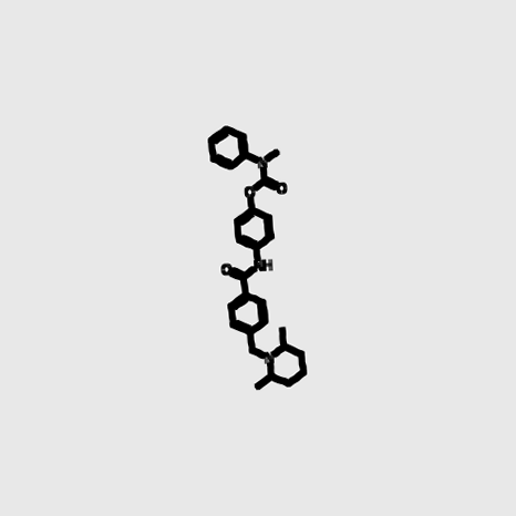 CC1CCCC(C)N1Cc1ccc(C(=O)Nc2ccc(OC(=O)N(C)c3ccccc3)cc2)cc1